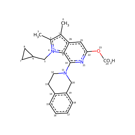 Cc1c(C)n(CC2CC2)c2c(N3CCc4ccccc4C3)nc(OC(=O)O)cc12